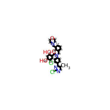 Cc1cnc(Cl)nc1-c1ccc(N(Cc2cccc(CN3CCOCC3)c2)C(=O)c2cc(Cl)c(O)cc2O)cc1